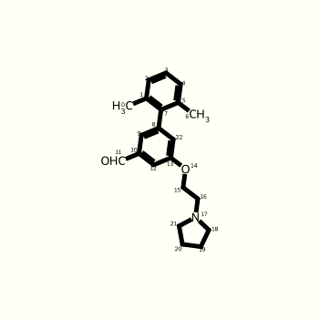 Cc1cccc(C)c1-c1cc(C=O)cc(OCCN2CCCC2)c1